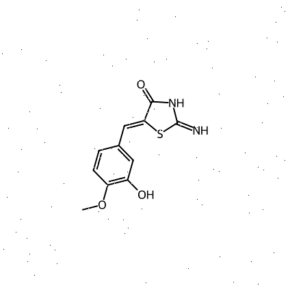 COc1ccc(/C=C2\SC(=N)NC2=O)cc1O